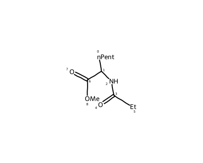 CCCCCC(NC(=O)CC)C(=O)OC